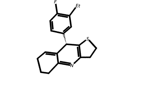 CCc1cc([C@H]2C3=CCCCC3=NC3=C2SCC3)ccc1F